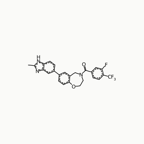 Cc1nc2cc(-c3ccc4c(c3)CN(C(=O)c3ccc(C(F)(F)F)c(F)c3)CCO4)ccc2[nH]1